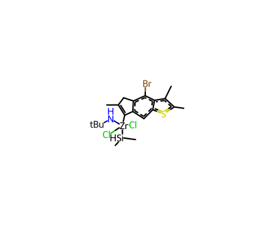 CC1=[C]([Zr]([Cl])([Cl])([NH]C(C)(C)C)[SiH](C)C)c2cc3sc(C)c(C)c3c(Br)c2C1